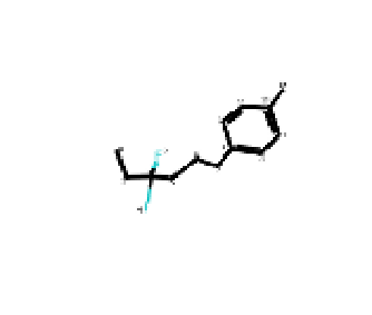 CCC(F)(F)CCCc1ccc(C)cc1